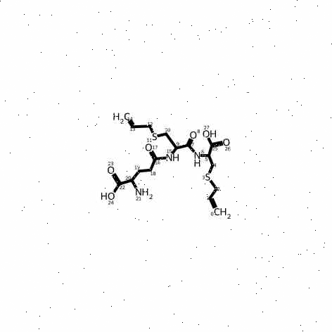 C=CCSCC(NC(=O)C(CSCC=C)NC(=O)CCC(N)C(=O)O)C(=O)O